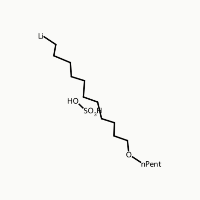 O=S(=O)(O)O.[Li][CH2]CCCCCCCCCCOCCCCC